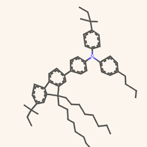 CCCCCCCCC1(CCCCCCCC)c2cc(-c3ccc(N(c4ccc(CCCC)cc4)c4ccc(C(C)(C)CC)cc4)cc3)ccc2-c2ccc(C(C)(C)CC)cc21